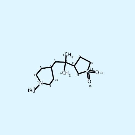 CC(C)(CC1CCN(C(C)(C)C)CC1)C1CCS(=O)(=O)C1